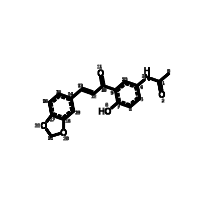 CC(=O)Nc1ccc(O)c(C(=O)C=Cc2ccc3c(c2)OCO3)c1